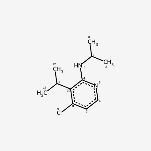 CC(C)Nc1nccc(Cl)c1C(C)C